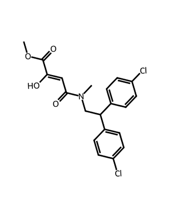 COC(=O)C(O)=CC(=O)N(C)CC(c1ccc(Cl)cc1)c1ccc(Cl)cc1